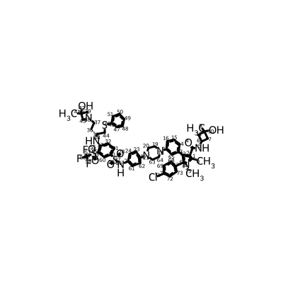 Cc1c(C(=O)NC2CC(C)(O)C2)c(-c2cccc(N3CCN(c4ccc(NS(=O)(=O)c5ccc(N[C@H](CCN6CC(C)(O)C6)CSc6ccccc6)c(S(=O)(=O)C(F)(F)F)c5)cc4)CC3)c2)c(-c2ccc(Cl)cc2)n1C